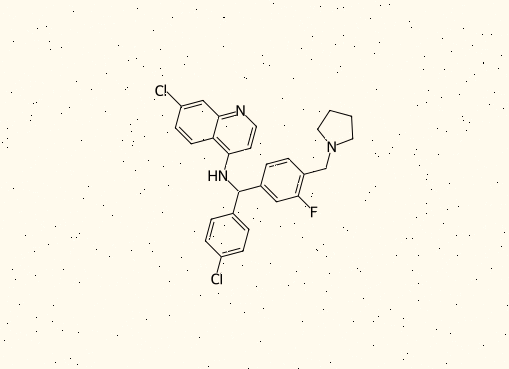 Fc1cc(C(Nc2ccnc3cc(Cl)ccc23)c2ccc(Cl)cc2)ccc1CN1CCCC1